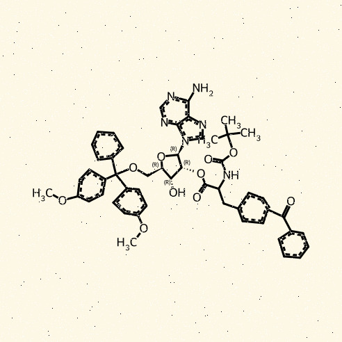 COc1ccc(C(OC[C@H]2O[C@@H](n3cnc4c(N)ncnc43)[C@H](OC(=O)C(Cc3ccc(C(=O)c4ccccc4)cc3)NC(=O)OC(C)(C)C)[C@@H]2O)(c2ccccc2)c2ccc(OC)cc2)cc1